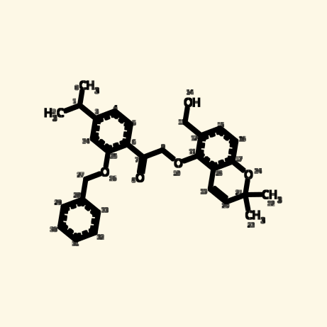 CC(C)c1ccc(C(=O)COc2c(CO)ccc3c2C=CC(C)(C)O3)c(OCc2ccccc2)c1